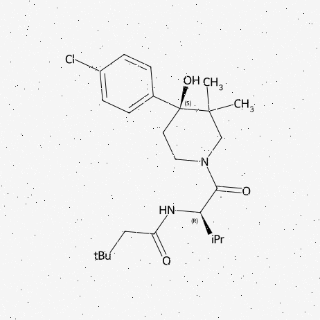 CC(C)[C@@H](NC(=O)CC(C)(C)C)C(=O)N1CC[C@](O)(c2ccc(Cl)cc2)C(C)(C)C1